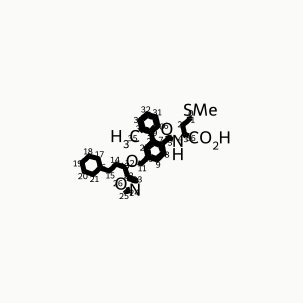 CSCCC(NC(=O)c1ccc(COC(CCC2CCCCC2)c2cnco2)cc1-c1ccccc1C)C(=O)O